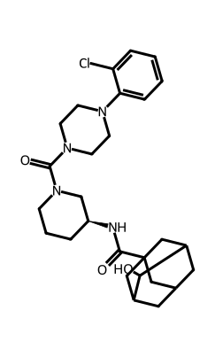 O=C(N1CCN(c2ccccc2Cl)CC1)N1CCC[C@H](NC(=O)C23CC4CC(C2)C(O)C(C4)C3)C1